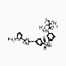 CC(C)(CF)C(=O)Nc1cccc(NS(=O)(=O)c2ccc(-c3noc(-c4cccc(N)n4)n3)cc2)c1